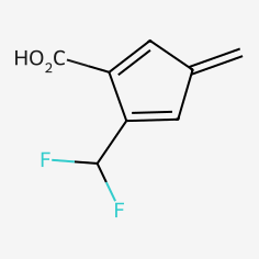 C=C1C=C(C(=O)O)C(C(F)F)=C1